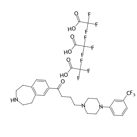 O=C(CCCN1CCN(c2cccc(C(F)(F)F)c2)CC1)c1ccc2c(c1)CCNCC2.O=C(O)C(F)(F)F.O=C(O)C(F)(F)F.O=C(O)C(F)(F)F